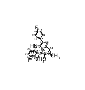 Cc1cc(Nc2c(-c3ccc(F)cc3)nc3n2C(C)(C)C(=O)N(C)C3)ccc1F